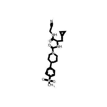 CS(=O)(=O)c1ccc(C2CCN(C(=O)NC(CC3CC3)C(=O)NCC#N)CC2)cc1